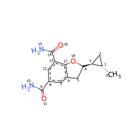 C[C@H]1C[C@@H]1C1Cc2cc(C(N)=O)cc(C(N)=O)c2O1